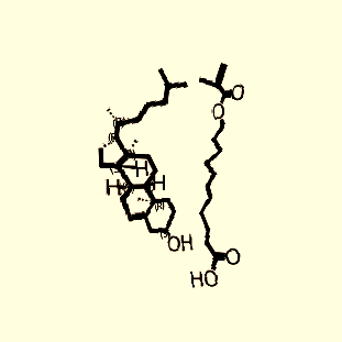 C=C(C)C(=O)OCCCCCCCCCCC(=O)O.CC(C)CCC[C@@H](C)[C@H]1CC[C@H]2[C@@H]3CC=C4C[C@@H](O)CC[C@]4(C)[C@H]3CC[C@]12C